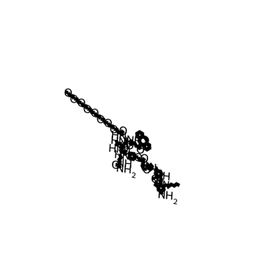 CCCCCNc1cc(N)cc2ccn(Cc3ccc(CN4CC5(C4)CN(C(=O)COc4ccc(NC(=O)[C@H](CCCNC(N)=O)NC(=O)[C@@H](NC(=O)[C@H](CNC(=O)CCOCCOCCOCCOCCOCCOCCOCCOC)NC(=O)CCC(=O)C6Cc7ccccc7C#Cc7ccccc76)C(C)C)cc4)CCO5)cc3OC)c12